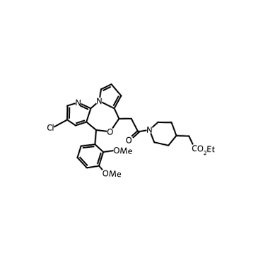 CCOC(=O)CC1CCN(C(=O)CC2OC(c3cccc(OC)c3OC)c3cc(Cl)cnc3-n3cccc32)CC1